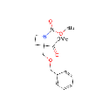 COC(=O)C1(COCc2ccccc2)CCN1C(=O)OC(C)(C)C